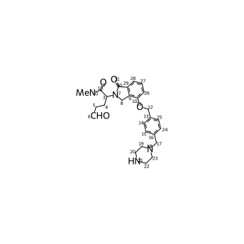 CNC(=O)C(CCC=O)N1Cc2c(OCc3ccc(CN4CCNCC4)cc3)cccc2C1=O